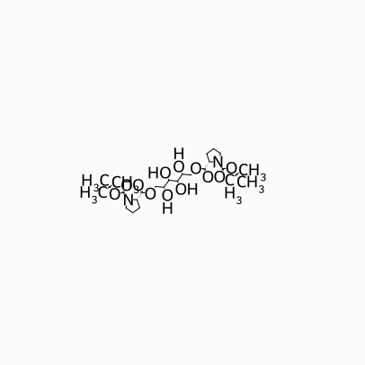 CC(C)(C)OC(=O)N1CCC[C@H]1C(=O)OC[C@@H](O)[C@@H](O)[C@H](O)[C@H](O)COC(=O)[C@@H]1CCCN1C(=O)OC(C)(C)C